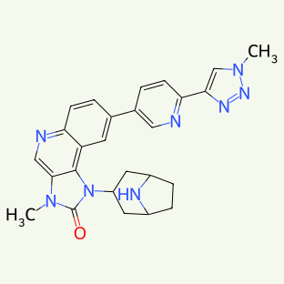 Cn1cc(-c2ccc(-c3ccc4ncc5c(c4c3)n(C3CC4CCC(C3)N4)c(=O)n5C)cn2)nn1